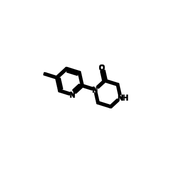 Cc1ccc(N2CCNCC2=O)nc1